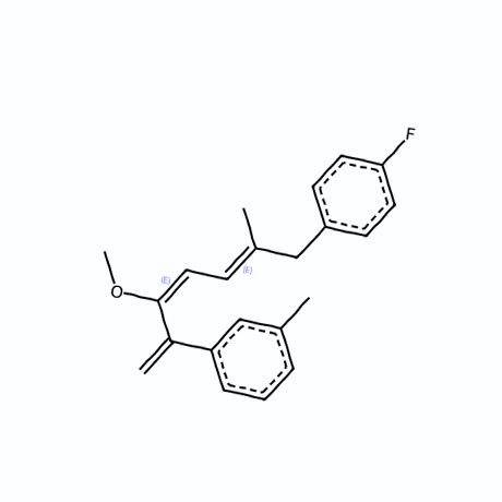 C=C(/C(=C\C=C(/C)Cc1ccc(F)cc1)OC)c1cccc(C)c1